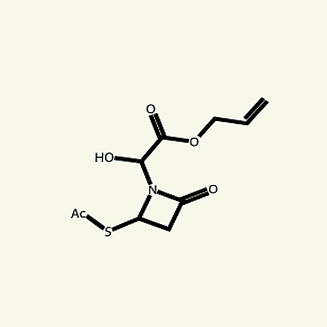 C=CCOC(=O)C(O)N1C(=O)CC1SC(C)=O